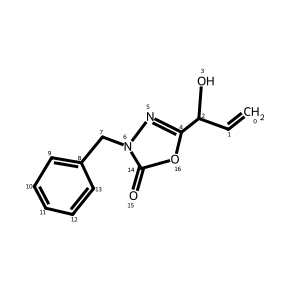 C=CC(O)c1nn(Cc2ccccc2)c(=O)o1